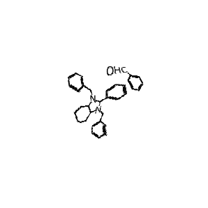 O=Cc1ccccc1.c1ccc(CN2C3CCCCC3N(Cc3ccccc3)C2c2ccccc2)cc1